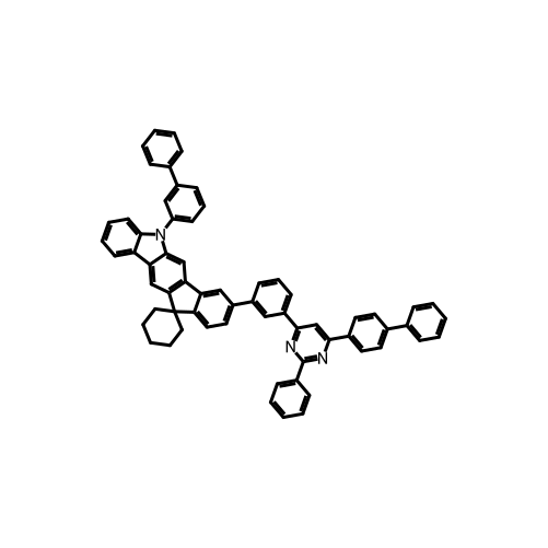 c1ccc(-c2ccc(-c3cc(-c4cccc(-c5ccc6c(c5)-c5cc7c(cc5C65CCCCC5)c5ccccc5n7-c5cccc(-c6ccccc6)c5)c4)nc(-c4ccccc4)n3)cc2)cc1